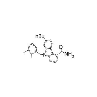 CCCCc1c[c]c2c3c(C(N)=O)cccc3n(Cc3cccc(C)c3C)c2c1